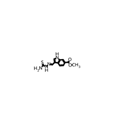 COC(=O)c1ccc2c(/C=N/NC(N)=S)c[nH]c2c1